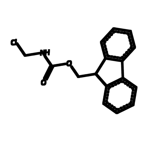 O=C(NCCl)OCC1c2ccccc2-c2ccccc21